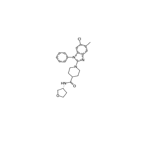 Cc1cc2nc(N3CCC(C(=O)N[C@@H]4CCOC4)CC3)n(-c3ccccc3)c2cc1Cl